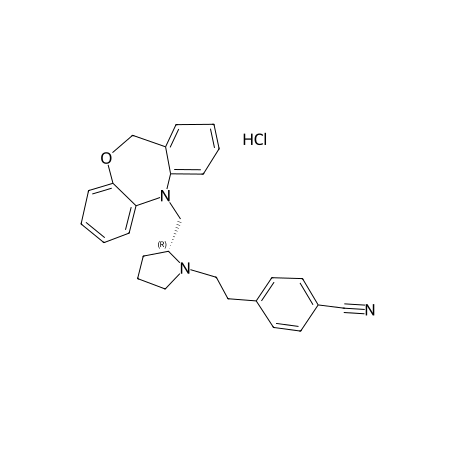 Cl.N#Cc1ccc(CCN2CCC[C@@H]2CN2c3ccccc3COc3ccccc32)cc1